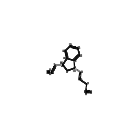 C=C[C@H]1C[C@@H](C=CCOC(C)=O)c2ccccc21